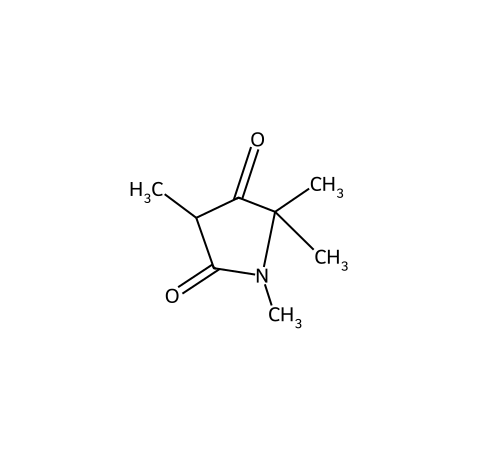 CC1C(=O)N(C)C(C)(C)C1=O